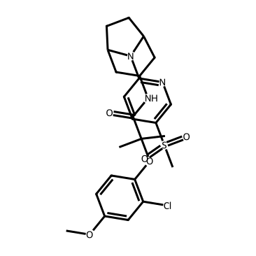 COc1ccc(OC(C)(C)C(=O)NC2CC3CCC(C2)N3c2ccc(S(C)(=O)=O)cn2)c(Cl)c1